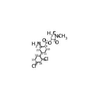 CN(C)C(=O)COC(=O)c1ccc(-c2ccc(Cl)cc2Cl)cc1N